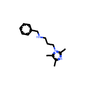 Cc1nc(C)n(CCCNCc2ccccc2)c1C